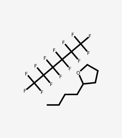 CCCCC1CCCO1.FC(F)(F)C(F)(F)C(F)(F)C(F)(F)C(F)(F)C(F)(F)F